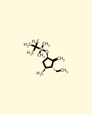 C=C1[C@H](O[Si](C)(C)C(C)(C)C)C[C@H](C)[C@H]1CC